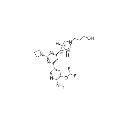 Nc1ncc(-c2cc([C@H]3[C@@H]4CN(CCCO)C[C@@H]43)nc(N3CCC3)n2)cc1OC(F)F